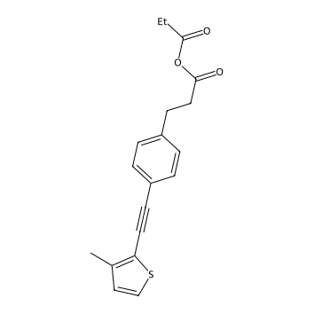 CCC(=O)OC(=O)CCc1ccc(C#Cc2sccc2C)cc1